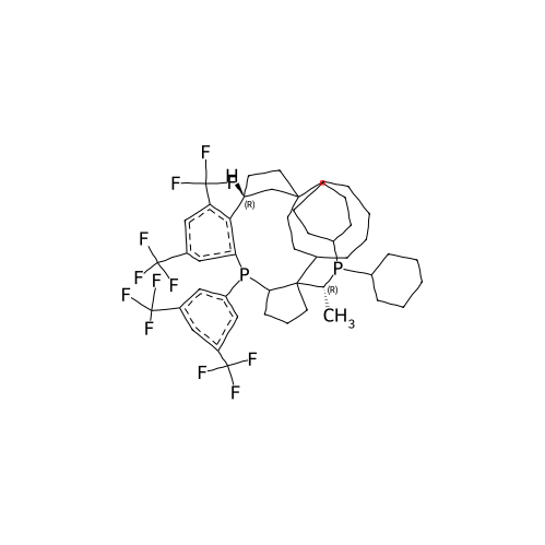 C[C@@H](P(C1CCCCC1)C1CCCCC1)C12CCCC1P(c1cc(C(F)(F)F)cc(C(F)(F)F)c1)c1cc(C(F)(F)F)cc(C(F)(F)F)c1[C@@H]1CCC3(CCCCCC2CC3)C1